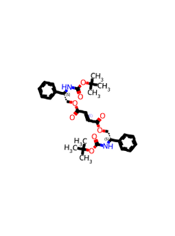 CC(C)(C)OC(=O)N[C@H](COC(=O)/C=C/C(=O)OC[C@@H](NC(=O)OC(C)(C)C)c1ccccc1)c1ccccc1